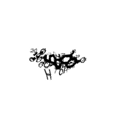 CC1C[C@@H]2[C@H](C(O)C[C@@]3(C)[C@H]2CC[C@]3(O)C(=O)COS(C)(=O)=O)[C@@]2(C)C=CC(=O)C=C12